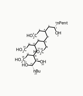 CCCCC[C@H](O)CC(CC(=O)O)CC(CC(=O)O)CC(CC(=O)O)CC(CC(=O)O)[C@@H](O)[C@@H](O)CCCC